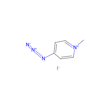 C[n+]1ccc(N=[N+]=[N-])cc1.[I-]